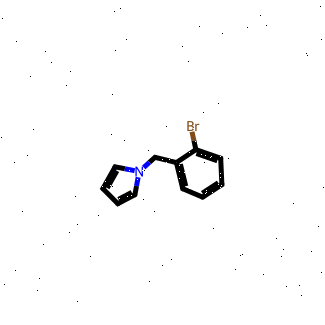 Brc1ccccc1Cn1cccc1